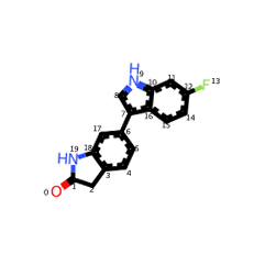 O=C1Cc2ccc(-c3c[nH]c4cc(F)ccc34)cc2N1